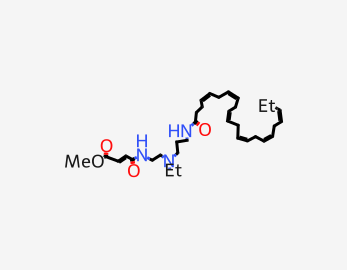 CC/C=C\C/C=C\C/C=C\C/C=C\C/C=C\C/C=C\CCC(=O)NCCCN(CC)CCNC(=O)/C=C/C(=O)OC